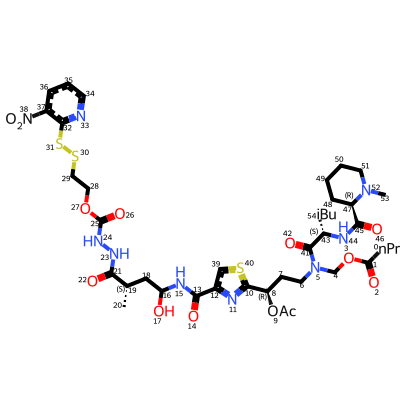 CCCC(=O)OCN(CC[C@@H](OC(C)=O)c1nc(C(=O)NC(O)C[C@H](C)C(=O)NNC(=O)OCCSSc2ncccc2[N+](=O)[O-])cs1)C(=O)[C@@H](NC(=O)[C@H]1CCCCN1C)C(C)CC